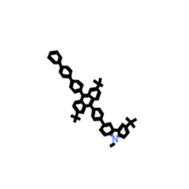 CCn1c2ccc(-c3ccc(-c4c5ccc(C(C)(C)C)cc5c(-c5ccc(-c6ccc(-c7ccccc7)cc6)cc5)c5ccc(C(C)(C)C)cc45)cc3)cc2c2cc(C(C)(C)C)ccc21